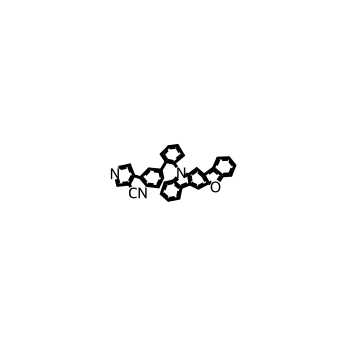 N#Cc1cnccc1-c1cccc(-c2ccccc2-n2c3ccccc3c3cc4oc5ccccc5c4cc32)c1